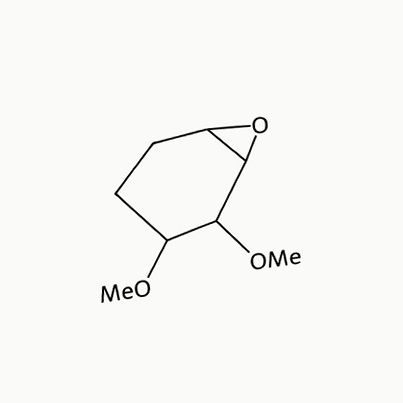 COC1CCC2OC2C1OC